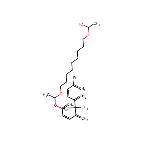 C=C(/C=C\C(=C)C(C)(C)C(=C)/C=C\C(=C)C(C)C)OC(C)OCCCCCCCCCOC(C)O